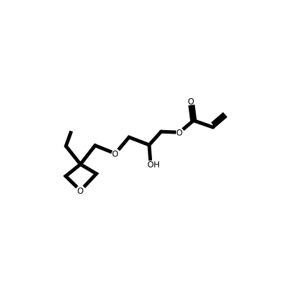 C=CC(=O)OCC(O)COCC1(CC)COC1